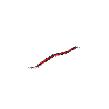 CCCCCCCOCCOCCOCCOCCOCCOCCOCCOCCOCCOCCOCCOCCOCCOCCOCCOCCOCCOCCOCCOCCOCCOCCOCCOCCO